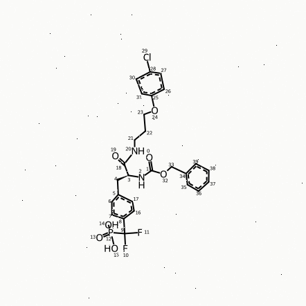 O=C(N[C@@H](Cc1ccc(C(F)(F)P(=O)(O)O)cc1)C(=O)NCCCOc1ccc(Cl)cc1)OCc1ccccc1